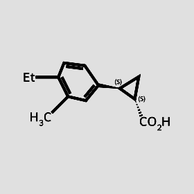 CCc1ccc([C@H]2C[C@@H]2C(=O)O)cc1C